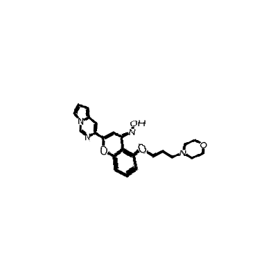 ON=c1cc(-c2cc3cccn3cn2)oc2cccc(OCCCN3CCOCC3)c12